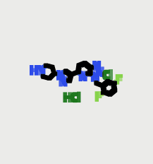 Cl.Fc1ccc(F)c(Cn2nnc3ccc(-c4cnn(C5CCNCC5)c4)nc32)c1Cl